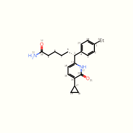 CCc1ccc([C@@H](CCCCC(N)=O)c2ccc(C3CC3)c(=O)[nH]2)cc1